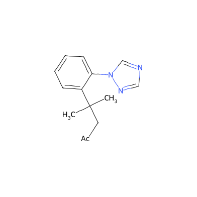 CC(=O)CC(C)(C)c1ccccc1-n1cncn1